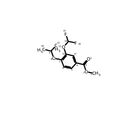 COC(=O)c1ccc(OC(C)C)c(OC(F)F)c1